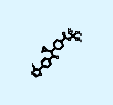 CC(C)(C)OC(=O)N1CCC(N(C(=O)c2ccc(-c3ocnc3I)cc2)C2CC2)CC1